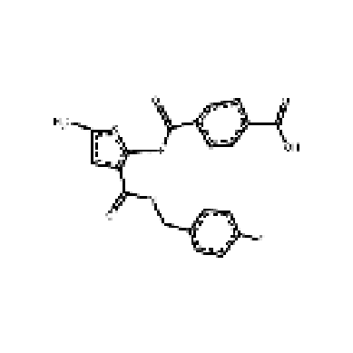 Cc1cc(C(=O)NCc2ccc(F)cc2)c(NC(=O)c2ccc(C(=O)O)cc2)s1